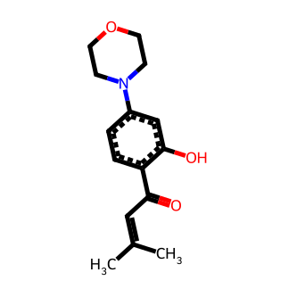 CC(C)=CC(=O)c1ccc(N2CCOCC2)cc1O